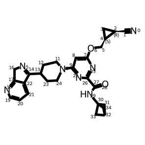 N#C[C@@H]1C[C@@H]1COc1cc(N2CCC(C3=NCc4ncccc43)CC2)nc(C(=O)NC23CC(C2)C3)n1